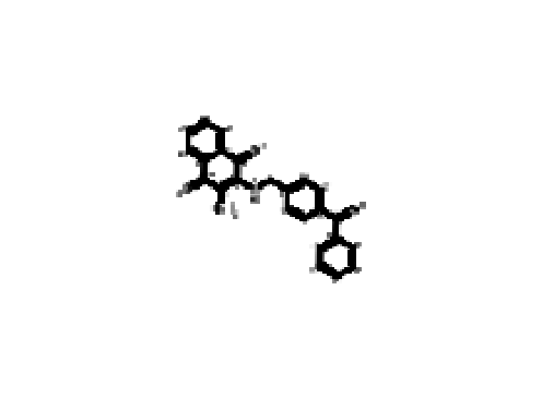 NC1=C(NCc2ccc(C(=O)c3ccccc3)cc2)C(=O)c2ccccc2C1=O